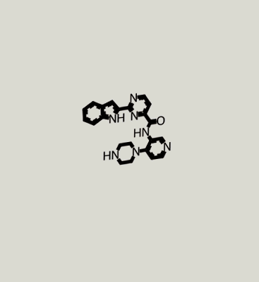 O=C(Nc1cnccc1N1CCNCC1)c1ccnc(-c2cc3ccccc3[nH]2)n1